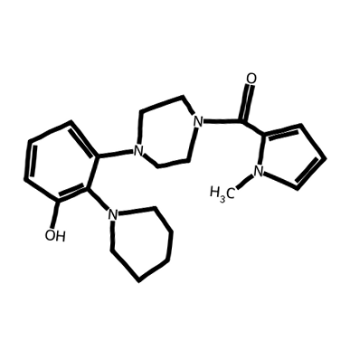 Cn1cccc1C(=O)N1CCN(c2cccc(O)c2N2CCCCC2)CC1